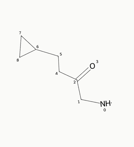 [NH]CC(=O)CCC1CC1